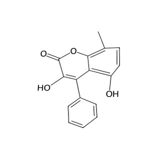 Cc1ccc(O)c2c(-c3ccccc3)c(O)c(=O)oc12